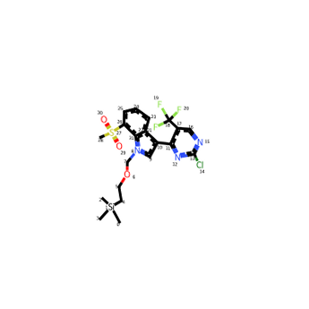 C[Si](C)(C)CCOCn1cc(-c2nc(Cl)ncc2C(F)(F)F)c2cccc(S(C)(=O)=O)c21